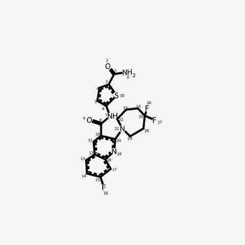 NC(=O)c1ccc(NC(=O)c2cc3ccc(F)cc3nc2N2CCCC(F)(F)CC2)s1